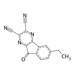 CCc1ccc2c(c1)-c1nc(C#N)c(C#N)nc1C2=O